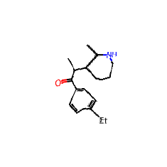 CCc1ccc(C(=O)C(C)C2CCCNC2C)cc1